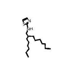 CCCCCCCC(CCCCCC)CNc1nccs1